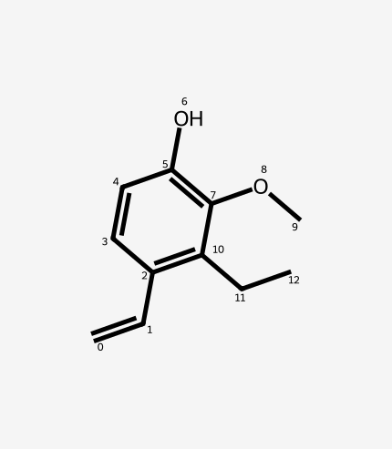 C=Cc1ccc(O)c(OC)c1CC